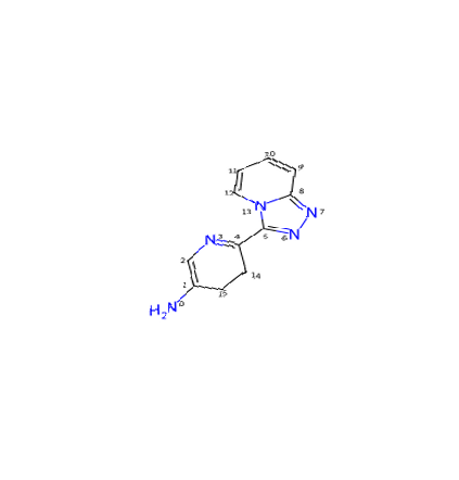 NC1=CN=C(c2nnc3ccccn23)CC1